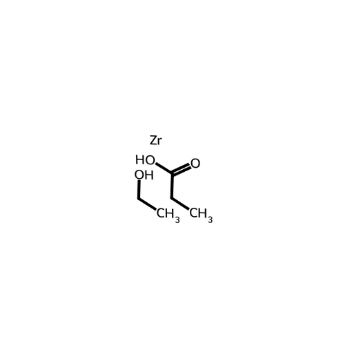 CCC(=O)O.CCO.[Zr]